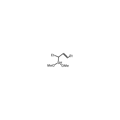 CCC=CC(CC)[SiH](OC)OC